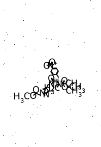 CCOC(=O)Cn1cc2c(n1)CCN(C(=O)[C@H](Cc1ccc([N+](=O)[O-])cc1)N(C)C(=O)OC(C)(C)C)C2